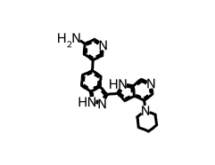 Nc1cncc(-c2ccc3[nH]nc(-c4cc5c(N6CCCCC6)cncc5[nH]4)c3c2)c1